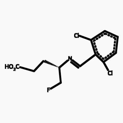 O=C(O)CC[C@@H](CF)N=Cc1c(Cl)cccc1Cl